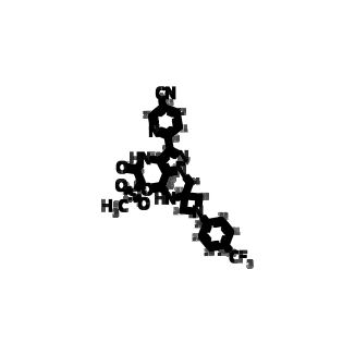 CS(=O)(=O)CC(=O)Nc1c(-c2ccc(C#N)cn2)nn2c1C(=O)NC1(CN(c3ccc(C(F)(F)F)cc3)C1)C2